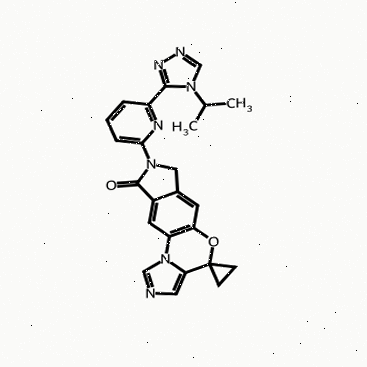 CC(C)n1cnnc1-c1cccc(N2Cc3cc4c(cc3C2=O)-n2cncc2C2(CC2)O4)n1